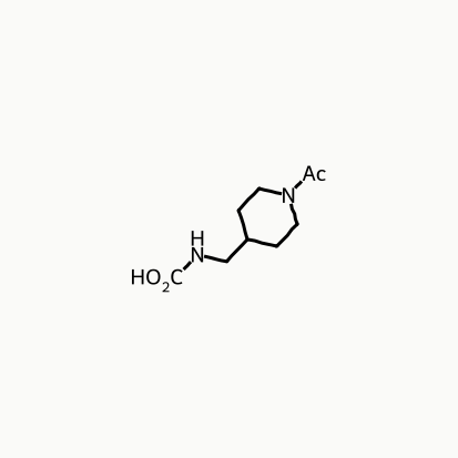 CC(=O)N1CCC(CNC(=O)O)CC1